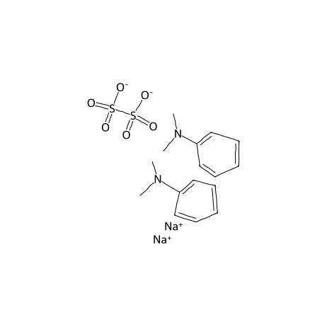 CN(C)c1ccccc1.CN(C)c1ccccc1.O=S(=O)([O-])S(=O)(=O)[O-].[Na+].[Na+]